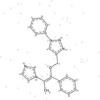 C/C(=C(/OCc1cn(-c2ccccc2)nn1)c1ccccc1)n1ccnc1